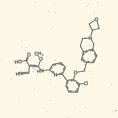 CO/C(Nc1cccc(-c2cccc(Cl)c2OCc2ccc3c(c2)CCN(C2COC2)C3)n1)=C(/C=N)C(=O)O